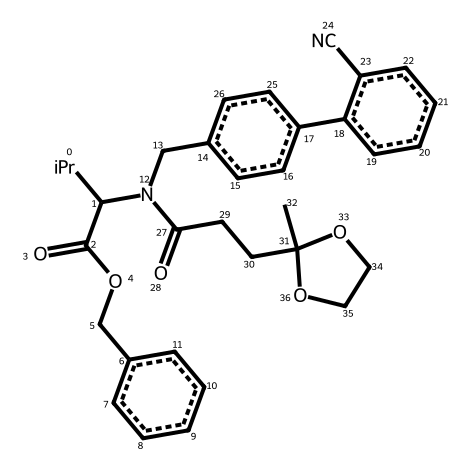 CC(C)C(C(=O)OCc1ccccc1)N(Cc1ccc(-c2ccccc2C#N)cc1)C(=O)CCC1(C)OCCO1